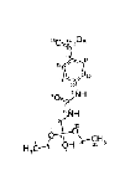 CCOC(O)(CNC(=O)Nc1ccc([N+](=O)[O-])cc1)OCC